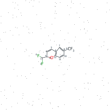 FC(F)C1C=Cc2cc(C(F)(F)F)ccc2O1